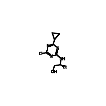 CCC(CO)Nc1nc(Cl)nc(C2CC2)n1